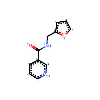 O=C(NCc1ccco1)c1cccnc1